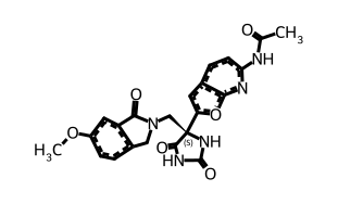 COc1ccc2c(c1)C(=O)N(C[C@@]1(c3cc4ccc(NC(C)=O)nc4o3)NC(=O)NC1=O)C2